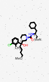 CNC[C@H](CC1CCCCC1)NC(=O)N1CCC[C@@H]([C@](O)(CCCCOC)c2cccc(Cl)c2C)C1